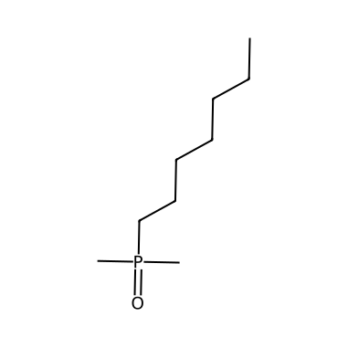 CCCCCCCP(C)(C)=O